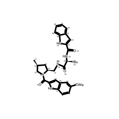 COc1ccc2[nH]c(C(=O)N3C[C@@H](C)C[C@H]3CNC(=O)[C@@H](NC(=O)c3cc4ccccc4[nH]3)C(C)(C)C)cc2c1